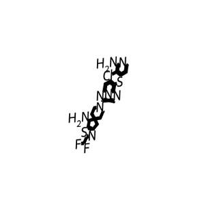 Nc1nccc(Sc2ccc3nc(N4CCC5(CC4)Cc4nc(C(F)F)sc4[C@H]5N)c4cnc2n34)c1Cl